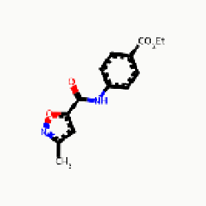 CCOC(=O)c1ccc(NC(=O)c2cc(C)no2)cc1